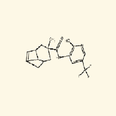 CC1(C(=O)Nc2cc(C(F)(F)F)cnc2O)CC2C=C3CC(C1)C32